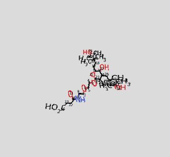 CC(=O)NC1C(OCCOCCNC(=O)CCC(=O)O)OC(CCC(C)(C)[Si](C)(C)O)C(O)C1CC(C)(C)[Si](C)(C)O